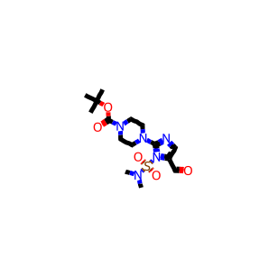 CN(C)S(=O)(=O)n1c(C=O)cnc1N1CCN(C(=O)OC(C)(C)C)CC1